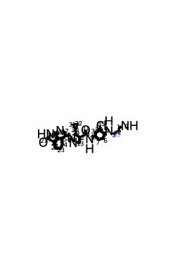 N=C/C=C\Nc1ccc(NC(=O)c2cnn(-c3cnc4c5c(cccc35)C(=O)N4)c2C2CC2)cc1Cl